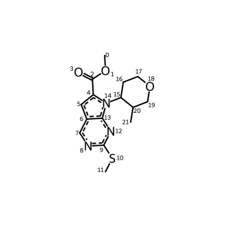 COC(=O)c1cc2cnc(SC)nc2n1C1CCOCC1C